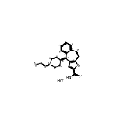 Cl.O=C(O)c1cc2c(s1)CCc1ccccc1C2=C1CCN(CCO)CC1